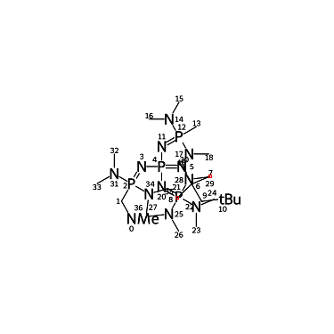 CNCP(=NP(=NC(C)(C)CC(C)(C)C)(N=P(C)(N(C)C)N(C)C)N=P(N(C)C)(N(C)C)N(C)C)(N(C)C)N(C)C